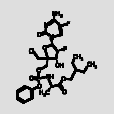 CCC(CC)COC(=O)[C@H](C)NP(=O)(OC[C@@]1(CCl)O[C@@H](n2cc(F)c(N)nc2=O)[C@@H](F)[C@@H]1O)Oc1ccccc1